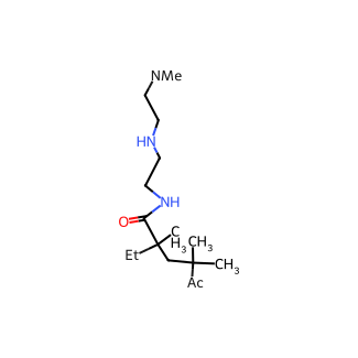 CCC(C)(CC(C)(C)C(C)=O)C(=O)NCCNCCNC